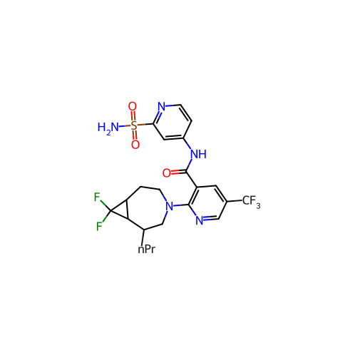 CCCC1CN(c2ncc(C(F)(F)F)cc2C(=O)Nc2ccnc(S(N)(=O)=O)c2)CCC2C1C2(F)F